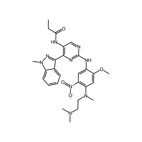 CCC(=O)Nc1cnc(Nc2cc([N+](=O)[O-])c(N(C)CCN(C)C)cc2OC)nc1-c1nn(C)c2ccccc12